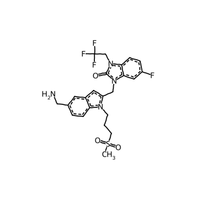 CS(=O)(=O)CCCn1c(Cn2c(=O)n(CC(F)(F)F)c3ccc(F)cc32)cc2cc(CN)ccc21